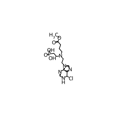 COC(=O)CCCN(CCn1cnc2c1N=CNC2Cl)CCP(=O)(O)O